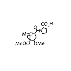 COOC(=O)C(C[C@@H](OC)C(=O)N1CCC[C@H]1C(=O)O)OC